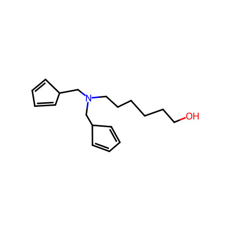 OCCCCCCN(CC1C=CC=C1)CC1C=CC=C1